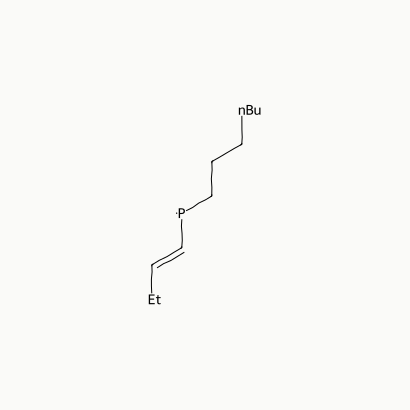 CCC=C[P]CCCCCCC